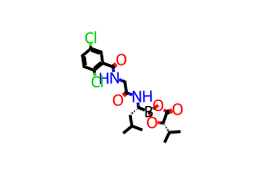 CC(C)C[C@H](NC(=O)CNC(=O)c1cc(Cl)ccc1Cl)B1OC(=O)[C@H](C(C)C)O1